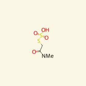 CNC(=O)CSS(=O)(=O)O